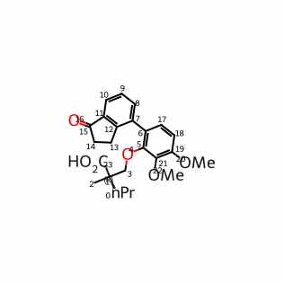 CCC[C@](C)(COc1c(-c2cccc3c2CCC3=O)ccc(OC)c1OC)C(=O)O